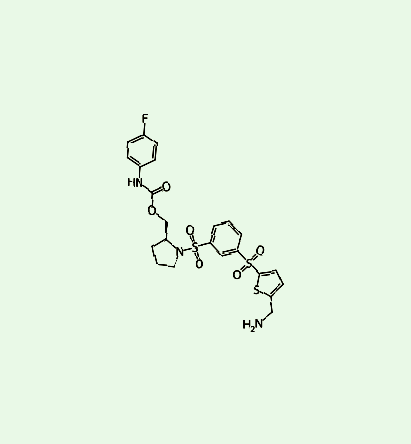 NCc1ccc(S(=O)(=O)c2cccc(S(=O)(=O)N3CCC[C@H]3COC(=O)Nc3ccc(F)cc3)c2)s1